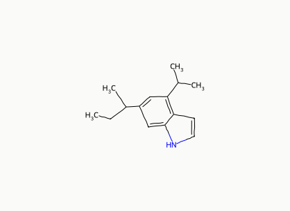 CCC(C)c1cc(C(C)C)c2cc[nH]c2c1